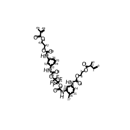 C=CC(C)C(=O)OCCOC(=O)Nc1ccc(C)c(NC(=O)OC(F)(F)C(F)(F)OC(=O)Nc2cccc(NC(=O)OCCOC(=O)C(=C)C)c2)c1